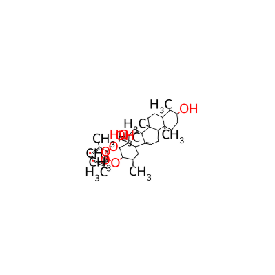 C/C=C(/C)C(=O)O[C@@H]1[C@H](C)CC2C3=CCC4[C@@]5(C)CC[C@H](O)[C@H](C)C5CC[C@@]4(C)[C@]3(C)C[C@@H](O)[C@@]2(CO)[C@H]1OC(=O)/C(C)=C\C